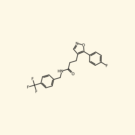 O=C(CCc1cnoc1-c1ccc(F)cc1)NCc1ccc(C(F)(F)F)cc1